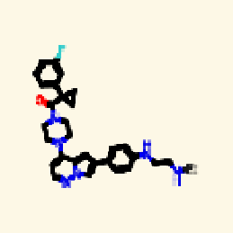 CCNCCNc1ccc(-c2cc3c(N4CCN(C(=O)C5(c6cccc(F)c6)CC5)CC4)ccnn3c2)cc1